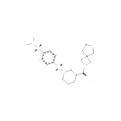 CCN(CC)S(=O)(=O)c1ccc(S(=O)(=O)N2CCCC(C(=O)N3CC4(CCOC4)C3)C2)cc1